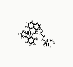 CN(C)CCCOc1ccc2ccccc2c1CCc1c(F)cccc1C1=NCCN1